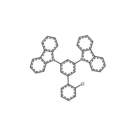 Clc1ccccc1-c1cc(-n2c3ccccc3c3ccccc32)cc(-n2c3ccccc3c3ccccc32)c1